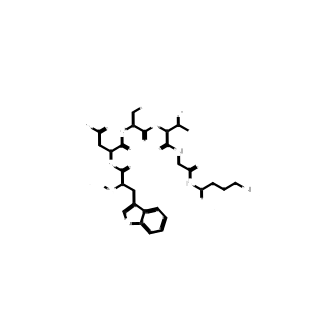 CC(O)C(NC(=O)C(CC(=O)O)NC(=O)C(CC(N)=O)NC(=O)C(Cc1c[nH]c2ccccc12)NC=O)C(=O)NCC(=O)NC(CCCN)C(=O)O